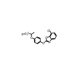 CCOC(=O)C(C)Oc1ccc(Oc2nc3cccc(Cl)c3o2)cc1